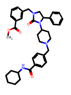 COC(=O)c1cccc(CN2CC(c3ccccc3)N(C3CCN(Cc4ccc(C(=O)NC5CCCCC5)cc4)CC3)C2=O)c1